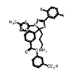 Cc1nnc(N2N=C(c3cc(F)ccc3F)SC2(CCCN)c2cccc(C(=O)Oc3cccc(C(=O)O)c3)c2)s1